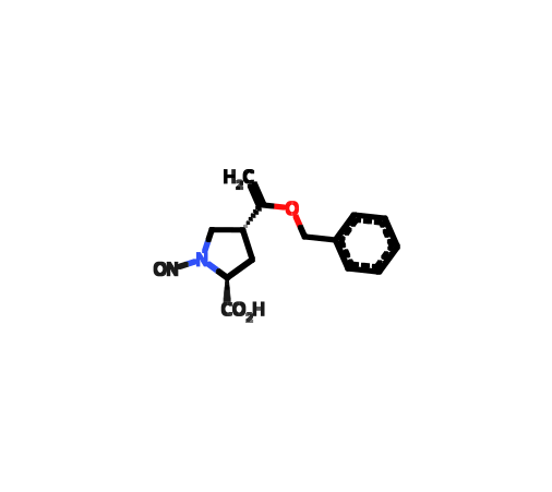 C=C(OCc1ccccc1)[C@@H]1C[C@@H](C(=O)O)N(N=O)C1